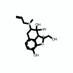 C=CCN(C)C1Cc2ccc(O)c3c2[C@](CCC)(C(CO)O3)C1(O)CCC